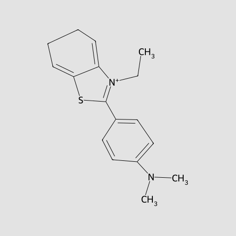 CC[n+]1c(-c2ccc(N(C)C)cc2)sc2c1=CCCC=2